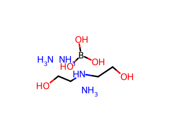 N.N.N.OB(O)O.OCCNCCO